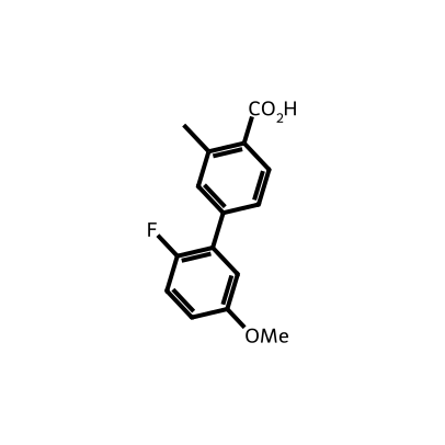 COc1ccc(F)c(-c2ccc(C(=O)O)c(C)c2)c1